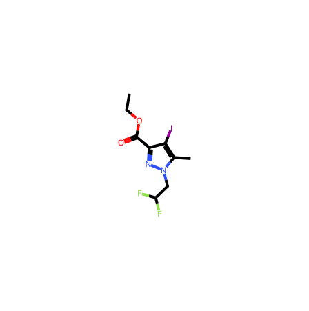 CCOC(=O)c1nn(CC(F)F)c(C)c1I